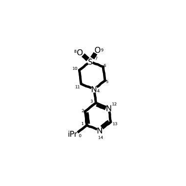 CC(C)c1cc(N2CCS(=O)(=O)CC2)ncn1